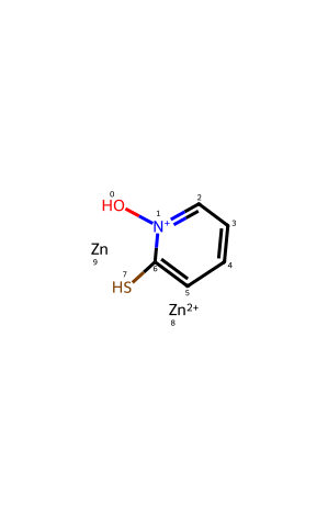 O[n+]1ccccc1S.[Zn+2].[Zn]